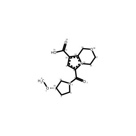 CO[C@H]1CCN(C(=O)c2cc(C(=O)O)c3n2CCOC3)C1